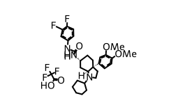 COc1ccc([C@@]23CC[C@@H](NC(=O)Nc4ccc(F)c(F)c4)C[C@@H]2N(C2CCCCC2)CC3)cc1OC.O=C(O)C(F)(F)F